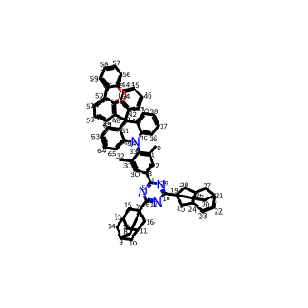 Cc1cc(-c2nc(C34CC5CC(CC(C5)C3)C4)nc(C34CC5CCC(C3)C(C5)C4)n2)cc(C)c1N1c2ccccc2C(c2ccccc2)(c2cccc3c2oc2ccccc23)c2ccccc21